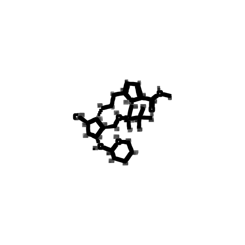 COC(=O)c1ccc(CCC[C@@H]2[C@@H](CO[Si](C)(C)C(C)(C)C)[C@H](OC3CCCCO3)C[C@H]2Cl)s1